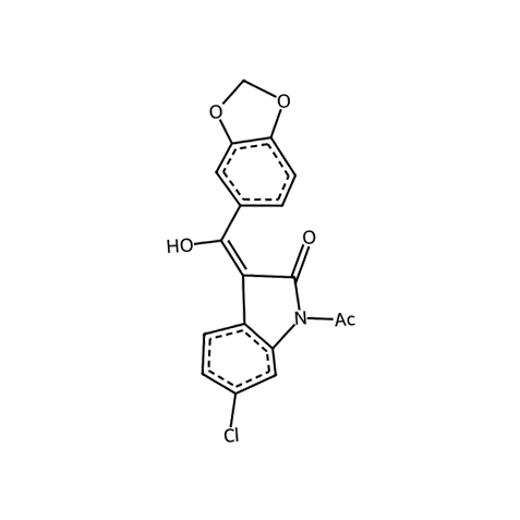 CC(=O)N1C(=O)C(=C(O)c2ccc3c(c2)OCO3)c2ccc(Cl)cc21